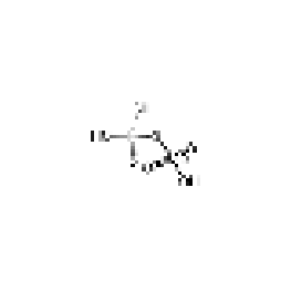 [O]=[Mo](=[O])([OH])[O]P(O)(=S)S